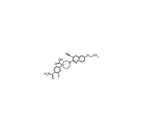 CCOc1ccc2nc(N3CCC[N+](C(=O)O)(c4ccc(C(N)=O)c(F)c4)CC3)c(C#N)cc2c1